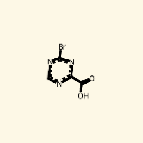 O=C(O)c1ncnc(Br)n1